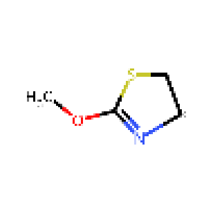 COC1=N[C]CS1